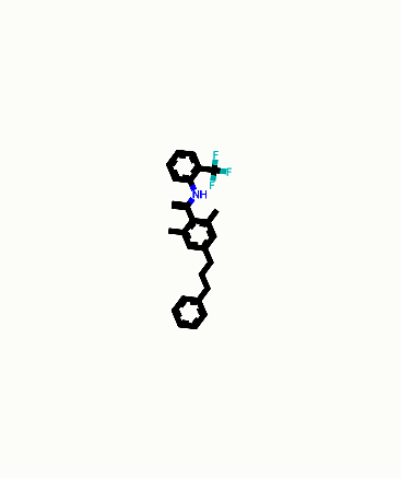 C=C(Nc1ccccc1C(F)(F)F)c1c(C)cc(CCCc2ccccc2)cc1C